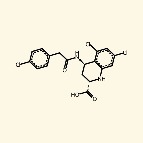 O=C(Cc1ccc(Cl)cc1)N[C@@H]1C[C@@H](C(=O)O)Nc2cc(Cl)cc(Cl)c21